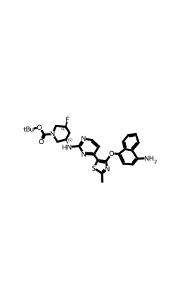 Cc1nc(Oc2ccc(N)c3ccccc23)c(-c2ccnc(N[C@H]3C[C@H](F)CN(C(=O)OC(C)(C)C)C3)n2)s1